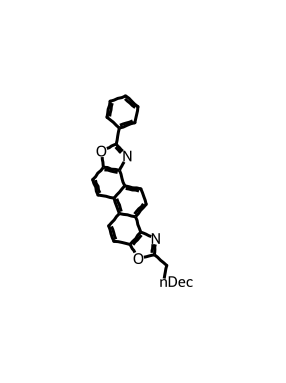 CCCCCCCCCCCc1nc2c(ccc3c4ccc5oc(-c6ccccc6)nc5c4ccc32)o1